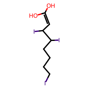 OC(O)=CC(I)C(I)CCCCI